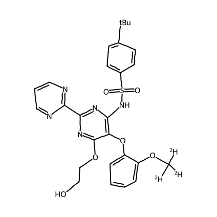 [2H]C([2H])([2H])Oc1ccccc1Oc1c(NS(=O)(=O)c2ccc(C(C)(C)C)cc2)nc(-c2ncccn2)nc1OCCO